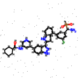 CS(=O)(=O)C(N)c1cc(F)cc(-c2cccc3[nH]c(-c4n[nH]c5ccc(-c6cncc(NC(=O)C7CCCCC7)c6)cc45)cc23)c1